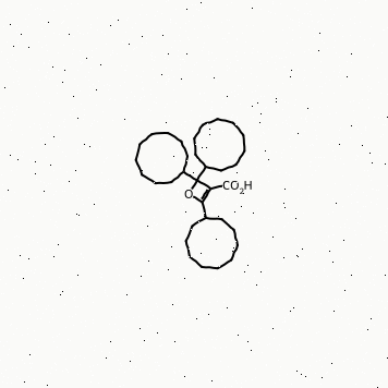 O=C(O)C1=C(C2CCCCCCCCC2)OC1(C1CCCCCCCCC1)C1CCCCCCCCC1